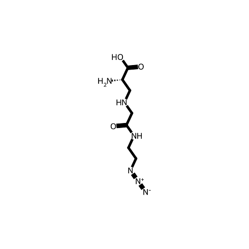 [N-]=[N+]=NCCNC(=O)CNC[C@H](N)C(=O)O